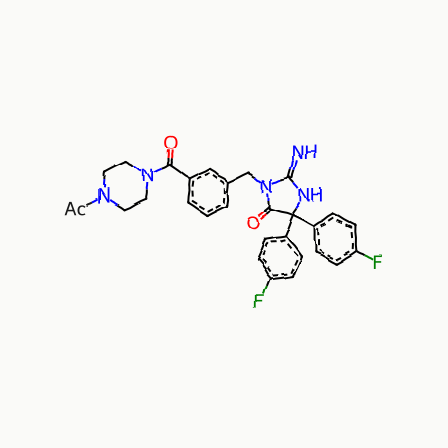 CC(=O)N1CCN(C(=O)c2cccc(CN3C(=N)NC(c4ccc(F)cc4)(c4ccc(F)cc4)C3=O)c2)CC1